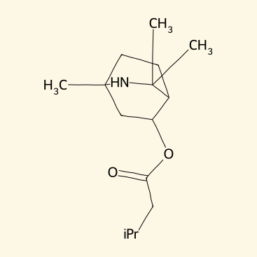 CC(C)CC(=O)OC1CC2(C)CCC1C(C)(C)N2